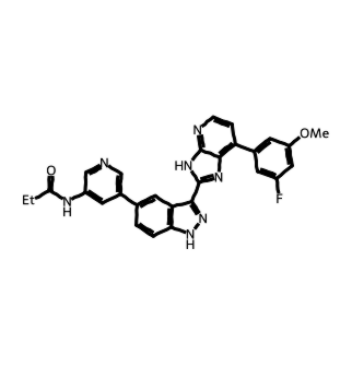 CCC(=O)Nc1cncc(-c2ccc3[nH]nc(-c4nc5c(-c6cc(F)cc(OC)c6)ccnc5[nH]4)c3c2)c1